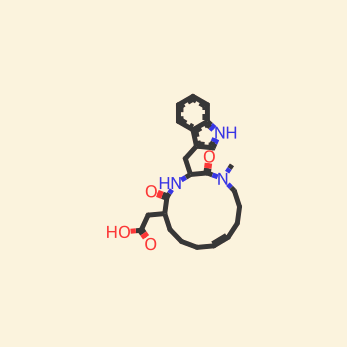 CN1CCCC=CCCCC(CC(=O)O)C(=O)NC(Cc2c[nH]c3ccccc23)C1=O